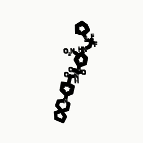 O=C(NS(=O)(=O)c1ccc(NCC(F)(F)Sc2ccccc2)c([N+](=O)[O-])c1)c1ccc(N2CCC3(CCCC3)CC2)cc1